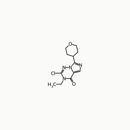 CCn1c(Cl)nn2c(C3CCOCC3)ncc2c1=O